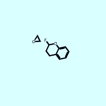 C1CO1.FC1CCc2ccccc2O1